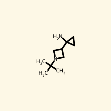 CC(C)(C)N1CC(C2(N)CC2)C1